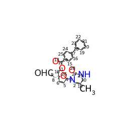 CC1=CN([C@H]2C=C[C@@](CC=O)(COC(=O)c3ccc(-c4ccccc4)cc3)O2)C(=O)NC1